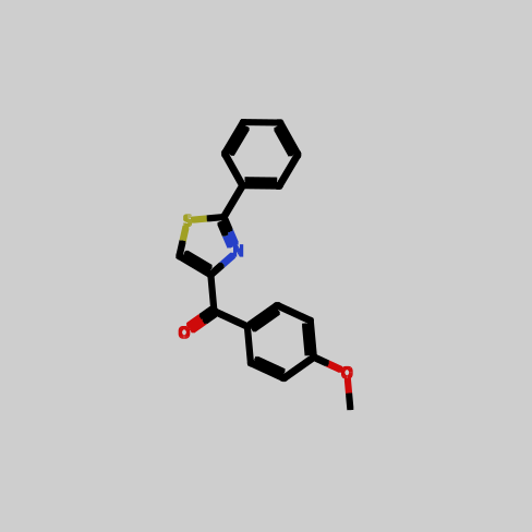 COc1ccc(C(=O)c2csc(-c3ccccc3)n2)cc1